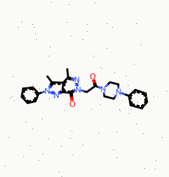 Cc1nn(CC(=O)N2CCN(c3ccccc3)CC2)c(=O)c2nn(-c3ccccc3)c(C)c12